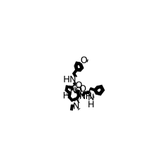 CCN(C)C[C@H]1CC[C@H]2CC[C@@H](C(=O)NCCc3ccc(OC)cc3)N2C(=O)[C@H]1NC(=O)[C@@H](Cc1ccccc1)NC